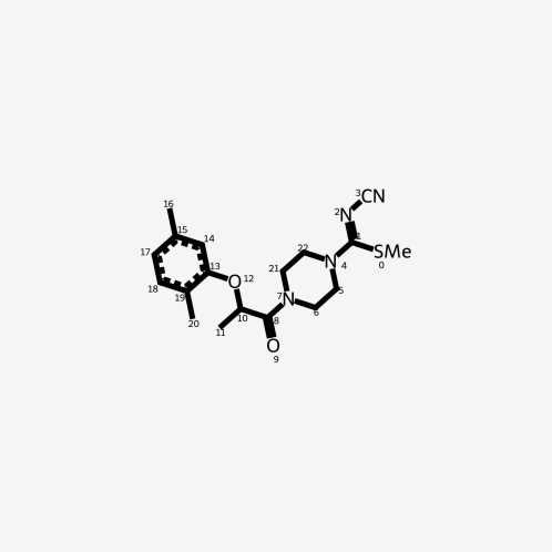 CSC(=NC#N)N1CCN(C(=O)C(C)Oc2cc(C)ccc2C)CC1